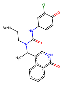 CC(=O)NCCN(C(=O)NC1C=CC(=O)C(Cl)=C1)C(C)c1c[nH]c(=O)c2ccccc12